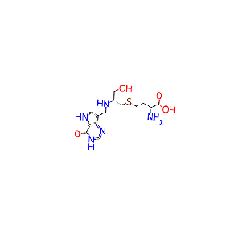 N[C@@H](CCSC[C@@H](CO)NCc1c[nH]c2c(=O)[nH]cnc12)C(=O)O